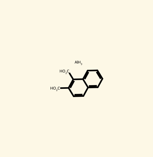 O=C(O)c1ccc2ccccc2c1C(=O)O.[AlH3]